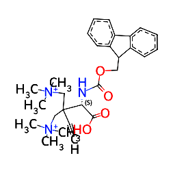 C#CC(C[N+](C)(C)C)(C[N+](C)(C)C)[C@H](NC(=O)OCC1c2ccccc2-c2ccccc21)C(=O)O